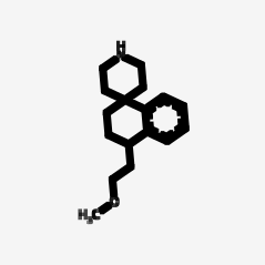 COCCC1CCC2(CCNCC2)c2ccccc21